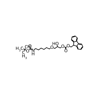 CC(C)(C)OC(=O)NCCCCCCOCC(O)COC(=O)OCC1c2ccccc2-c2ccccc21